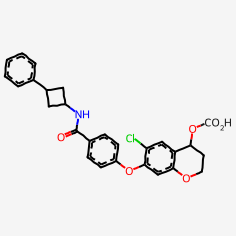 O=C(O)OC1CCOc2cc(Oc3ccc(C(=O)NC4CC(c5ccccc5)C4)cc3)c(Cl)cc21